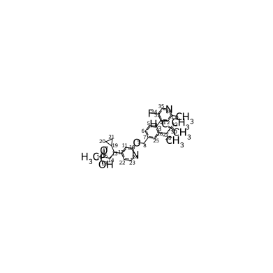 Cc1cc(-c2ccc(COc3cc([C@@H](CP(C)(=O)O)C4CC4)ccn3)cc2[C@@H](C)C(C)(C)C)c(F)cn1